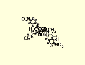 CN(CCCCCl)P(=O)(OCCc1ccc([N+](=O)[O-])cc1)C(Cl)(Cl)P(=O)(OCCc1ccc([N+](=O)[O-])cc1)N(C)CCCCCl